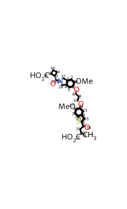 COc1cc2c(cc1OCCCOc1cc3cc(C(=O)CC(C)C(=O)O)sc3cc1OC)CN(C(=O)[C@@H]1CC[C@H]1C(=O)O)C2